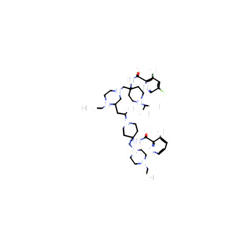 CCN1CCN(CC2(NC(=O)c3ncccc3Cl)CCN(C(C)CC3CN(CC4(NC(=O)c5ncc(F)cc5Cl)CCN(C(C)C)CC4)CCN3CC)CC2)CC1